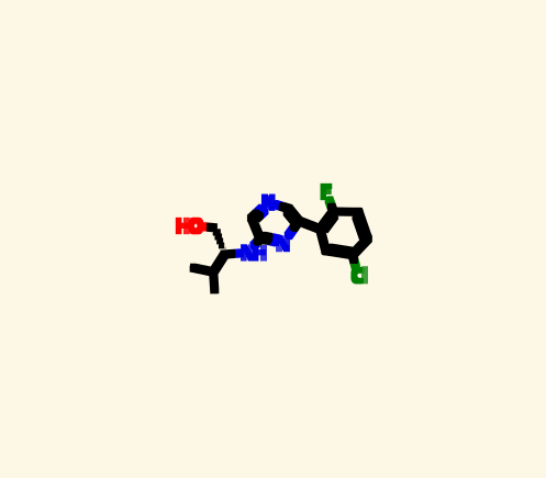 CC(C)[C@H](CO)Nc1cncc(-c2cc(Cl)ccc2F)n1